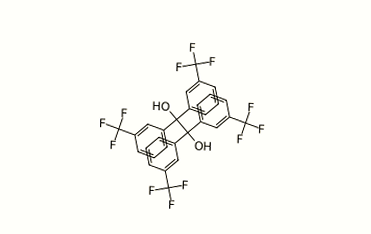 OC(c1cccc(C(F)(F)F)c1)(c1cccc(C(F)(F)F)c1)C(O)(c1cccc(C(F)(F)F)c1)c1cccc(C(F)(F)F)c1